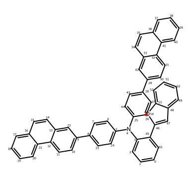 c1ccc(N(c2ccc(-c3ccc4c(ccc5ccccc54)c3)cc2)c2ccc(-c3ccc4c(ccc5ccccc54)c3)cc2)c(-c2cc3ccccc3o2)c1